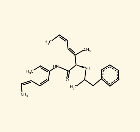 C\C=C/C=C\C(=C/C)NC(=O)[C@H](NC(C)Cc1ccccc1)/C(C)=C/C=C\C